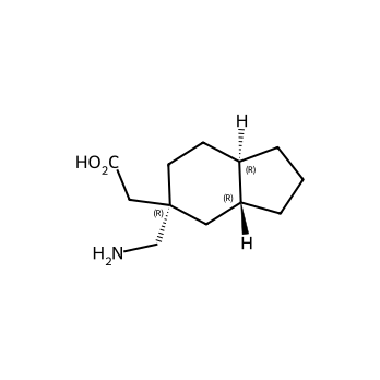 NC[C@]1(CC(=O)O)CC[C@H]2CCC[C@@H]2C1